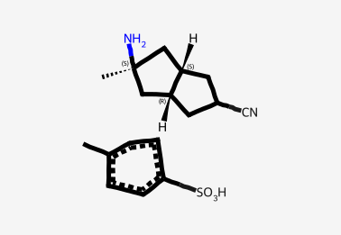 C[C@@]1(N)C[C@H]2CC(C#N)C[C@H]2C1.Cc1ccc(S(=O)(=O)O)cc1